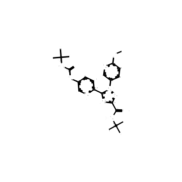 COc1ccc(-n2nc(C(=O)NC(C)(C)C)nc2-c2ccc(NC(=O)OC(C)(C)C)cn2)cn1